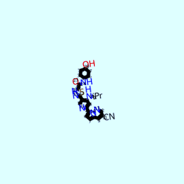 CC(C)Nc1cc(-c2ccc3cc(C#N)cnn23)ncc1-c1nnc(C(=O)NC2CCC(O)CC2)s1